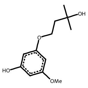 COc1cc(O)cc(OCCC(C)(C)O)c1